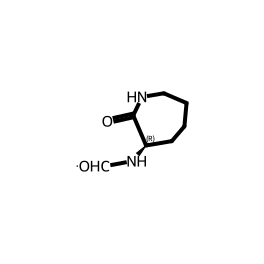 O=[C]N[C@@H]1CCCCNC1=O